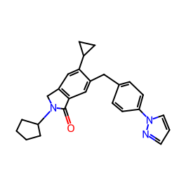 O=C1c2cc(Cc3ccc(-n4cccn4)cc3)c(C3CC3)cc2CN1C1CCCC1